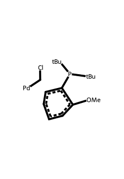 COc1ccccc1P(C(C)(C)C)C(C)(C)C.Cl[CH2][Pd]